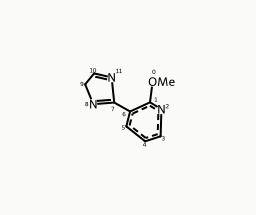 COc1ncccc1C1=NCC=N1